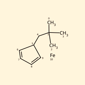 CC(C)(C)CC1C=CC=C1.[Fe]